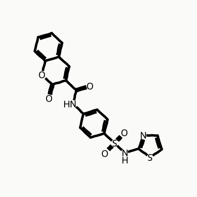 O=C(Nc1ccc(S(=O)(=O)Nc2nccs2)cc1)c1cc2ccccc2oc1=O